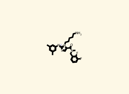 Cc1cc(C)cc(/N=c2\scc(C(=O)N(C)Cc3cccc(F)c3F)n2CCCCCN)c1